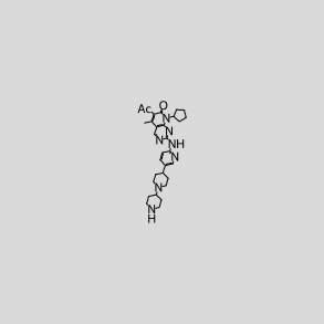 CC(=O)c1c(C)c2cnc(Nc3ccc(C4CCN(C5CCNCC5)CC4)cn3)nc2n(C2CCCC2)c1=O